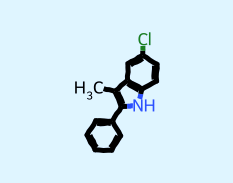 Cc1c(-c2ccccc2)[nH]c2ccc(Cl)cc12